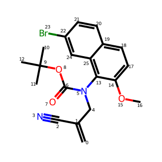 C=C(C#N)CN(C(=O)OC(C)(C)C)c1c(OC)ccc2ccc(Br)cc12